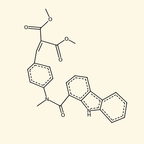 COC(=O)C(=Cc1ccc(N(C)C(=O)c2cccc3c2[nH]c2ccccc23)cc1)C(=O)OC